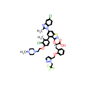 Cc1c(-c2cc(-n3c(C)nc4cc(Cl)ccc43)cc3snc(O[C@H](Cc4ccccc4OCc4ccnn4CC(F)(F)F)C(=O)O)c23)ccc(OCCN2CCN(C)CC2)c1Cl